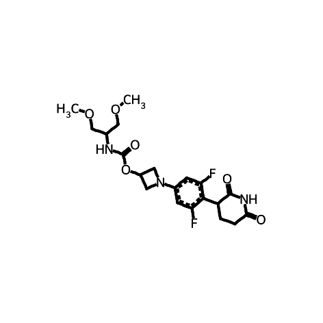 COCC(COC)NC(=O)OC1CN(c2cc(F)c(C3CCC(=O)NC3=O)c(F)c2)C1